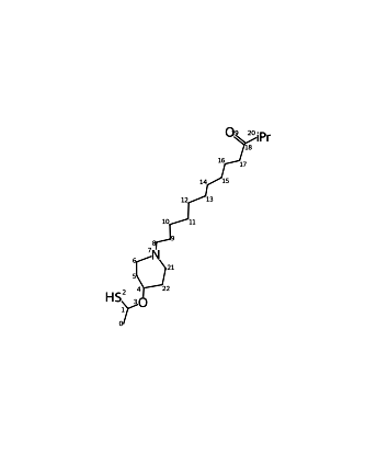 CC(S)OC1CCN(CCCCCCCCCCC(=O)C(C)C)CC1